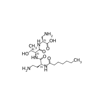 CCCCCCC(=O)N[C@@H](CCN)C(=O)N[C@H](C(=O)N[C@@H](CN)C(=O)O)[C@@H](C)O